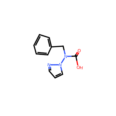 O=C(O)N(Cc1ccccc1)n1cccn1